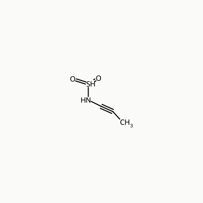 CC#CN[SH](=O)=O